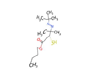 CCCCOC(=O)[C@@H](S)C(C)(C)N=NC(C)(C)C